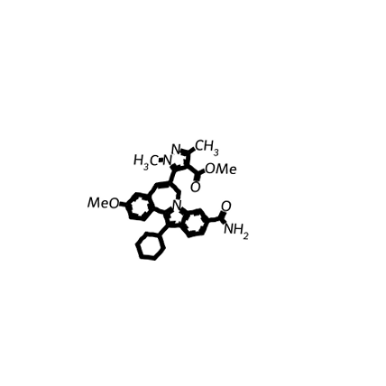 COC(=O)c1c(C)nn(C)c1C1=Cc2cc(OC)ccc2-c2c(C3CCCCC3)c3ccc(C(N)=O)cc3n2C1